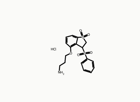 Cl.NCCCOc1cccc2c1C(S(=O)(=O)c1ccccc1)CS2(=O)=O